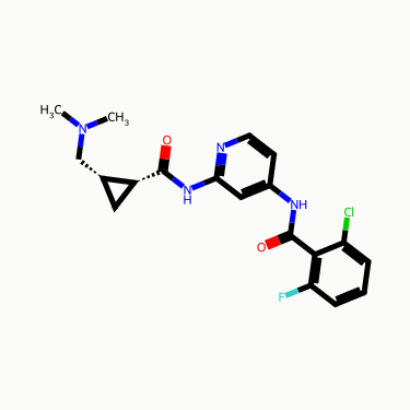 CN(C)C[C@H]1C[C@H]1C(=O)Nc1cc(NC(=O)c2c(F)cccc2Cl)ccn1